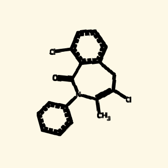 CC1=C(Cl)Cc2cccc(Cl)c2C(=O)N1c1ccccc1